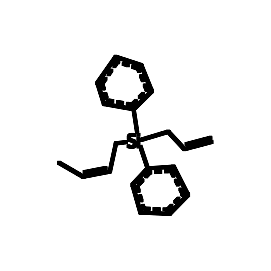 C=CC[Si](C/C=C\C)(c1ccccc1)c1ccccc1